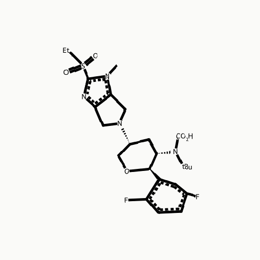 CCS(=O)(=O)c1nc2c(n1C)CN([C@H]1CO[C@H](c3cc(F)ccc3F)[C@@H](N(C(=O)O)C(C)(C)C)C1)C2